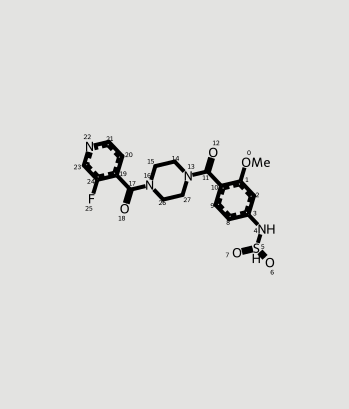 COc1cc(N[SH](=O)=O)ccc1C(=O)N1CCN(C(=O)c2ccncc2F)CC1